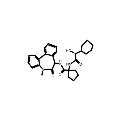 CN1C(=O)C(NC(=O)C2(NC(=O)[C@@H](O)C3CCCCC3)CCCC2)c2ccccc2-c2ccccc21